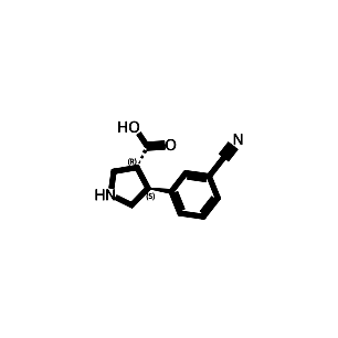 N#Cc1cccc([C@H]2CNC[C@@H]2C(=O)O)c1